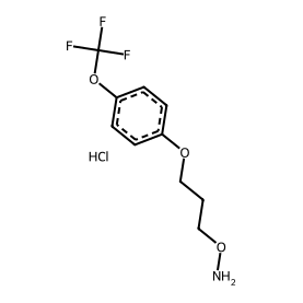 Cl.NOCCCOc1ccc(OC(F)(F)F)cc1